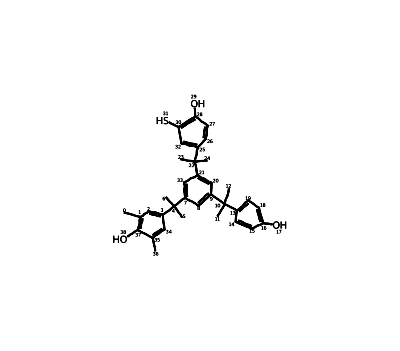 Cc1cc(C(C)(C)c2cc(C(C)(C)c3ccc(O)cc3)cc(C(C)(C)c3ccc(O)c(S)c3)c2)cc(C)c1O